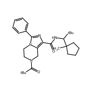 CC(C)(C)C(=O)N1CCn2c(-c3ccccc3)nc(C(=O)NC(C(C)(C)C)C3(C)CCCC3)c2C1